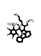 C=Nc1c(F)c(F)c(F)c(F)c1C1=[N+](C)C(/C=C/CO)C(COC)c2c1n1c3ccccc3c3cccc2c31